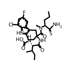 CCCC(C(N)=S)N(C)C(=O)C1(NC(=O)[C@@H](NC(=O)O)C(C)CC)CCc2[nH]c3c(Cl)cc(F)cc3c2C1